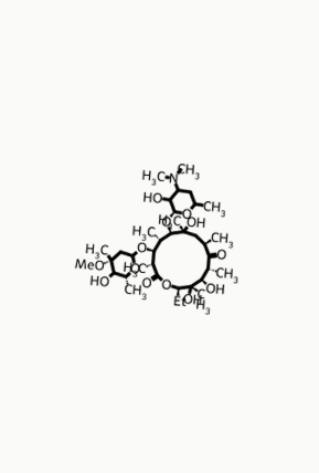 CC[C@H]1OC(=O)[C@H](C)[C@@H](OC2C[C@@](C)(OC)C(O)[C@@H](C)O2)[C@H](C)[C@@H](O[C@@H]2OC(C)CC(N(C)C)C2O)[C@](C)(O)C[C@@H](C)C(=O)[C@H](C)[C@@H](O)[C@]1(C)O